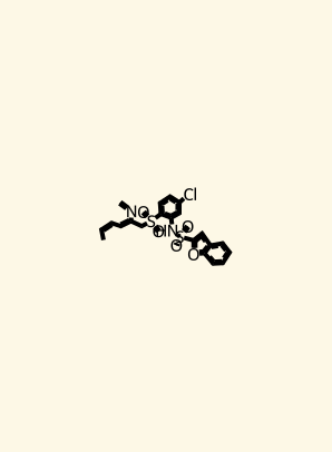 C=N/C(=C\C=C/C)CS(=O)(=O)c1ccc(Cl)cc1NS(=O)(=O)c1cc2ccccc2o1